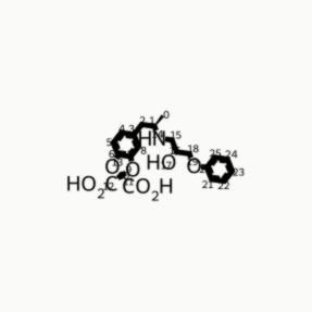 C[C@H](Cc1ccc2c(c1)OC(C(=O)O)(C(=O)O)O2)NC[C@H](O)COc1ccccc1